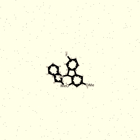 COc1cc(OC)c2c(c1)-c1ccc(F)cc1C2n1c(C)cc2ccccc21